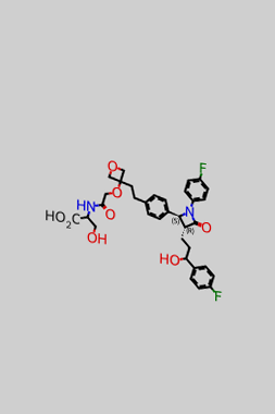 O=C(COC1(CCc2ccc([C@@H]3[C@@H](CCC(O)c4ccc(F)cc4)C(=O)N3c3ccc(F)cc3)cc2)COC1)NC(CO)C(=O)O